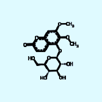 COc1cc2oc(=O)ccc2c(O[C@@H]2O[C@H](CO)[C@@H](O)[C@H](O)[C@H]2O)c1OC